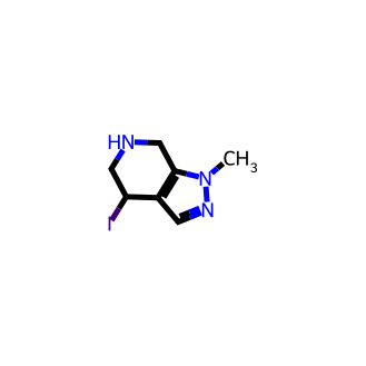 Cn1ncc2c1CNCC2I